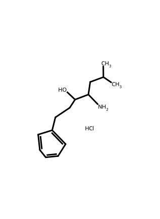 CC(C)CC(N)C(O)CCc1ccccc1.Cl